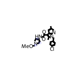 C\C=C(/C=C\N=C\OC)NC(=O)C(=O)c1c(C)n(Cc2ccc(Cl)cc2)c2ncc(C)cc12